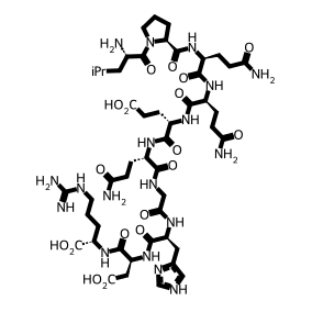 CC(C)C[C@H](N)C(=O)N1CCC[C@H]1C(=O)N[C@@H](CCC(N)=O)C(=O)N[C@@H](CCC(N)=O)C(=O)N[C@@H](CCC(=O)O)C(=O)N[C@@H](CCC(N)=O)C(=O)NCC(=O)N[C@@H](Cc1c[nH]cn1)C(=O)N[C@@H](CC(=O)O)C(=O)N[C@@H](CCCNC(=N)N)C(=O)O